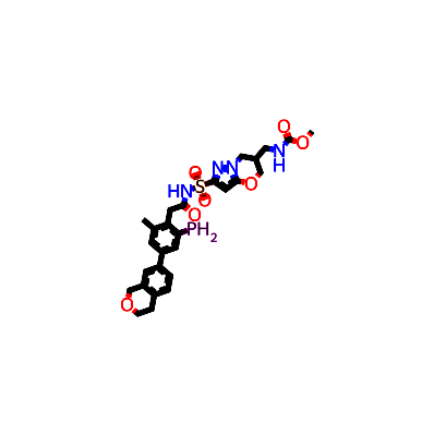 COC(=O)NCC1COc2cc(S(=O)(=O)NC(=O)Cc3c(C)cc(-c4ccc5c(c4)COCC5)cc3P)nn2C1